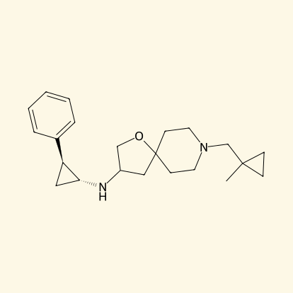 CC1(CN2CCC3(CC2)CC(N[C@@H]2C[C@H]2c2ccccc2)CO3)CC1